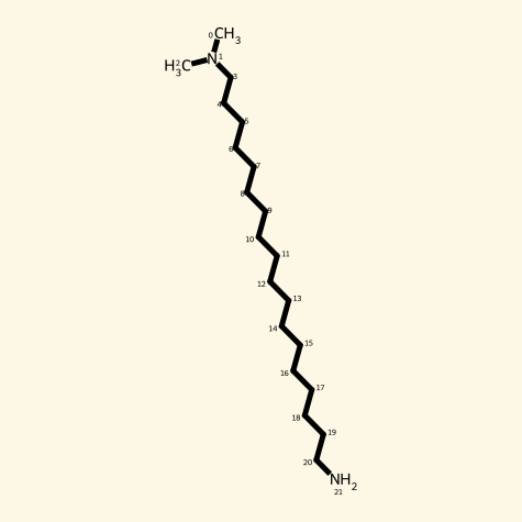 CN(C)CCCCCCCCCCCCCCCCCCN